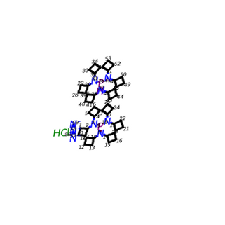 C1CC(N(C2CCC2)P(N(C2CCC2)C2CCC2)N(C2CCC2)C2CCC2)C1.C1CC(N(C2CCC2)[PH+](N(C2CCC2)C2CCC2)N(C2CCC2)C2CCC2)C1.Cl.[N-]=[N+]=[N-]